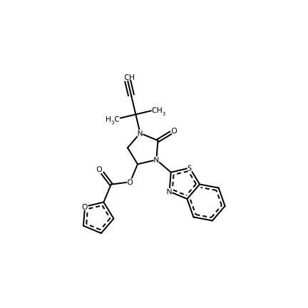 C#CC(C)(C)N1CC(OC(=O)c2ccco2)N(c2nc3ccccc3s2)C1=O